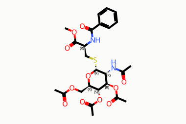 COC(=O)[C@H](CS[C@H]1O[C@H](COC(C)=O)[C@@H](OC(C)=O)[C@H](OC(C)=O)[C@H]1NC(C)=O)NC(=O)c1ccccc1